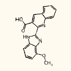 COc1cccc2[nH]c(-c3nc4ccccc4cc3C(=O)O)nc12